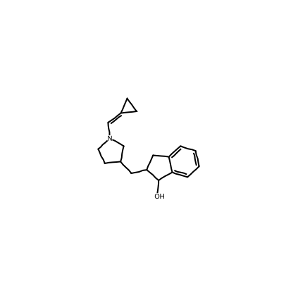 OC1c2ccccc2CC1CC1CCN(C=C2CC2)C1